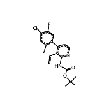 C=Cc1c(-c2cc(F)c(Cl)cc2C)ccnc1NC(=O)OC(C)(C)C